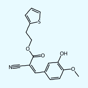 COc1ccc(C=C(C#N)C(=O)OCCc2cccs2)cc1O